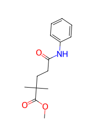 COC(=O)C(C)(C)CCC(=O)Nc1ccccc1